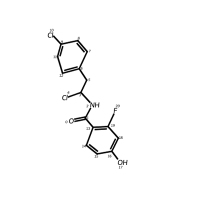 O=C(NC(Cl)Cc1ccc(Cl)cc1)c1ccc(O)cc1F